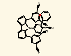 N#Cc1cc(C#N)cc(-c2cccc3c4cccc(-c5cc(C#N)cc(C#N)c5)c4n(-c4ccc(C#N)c(-c5ccncc5)c4)c23)c1